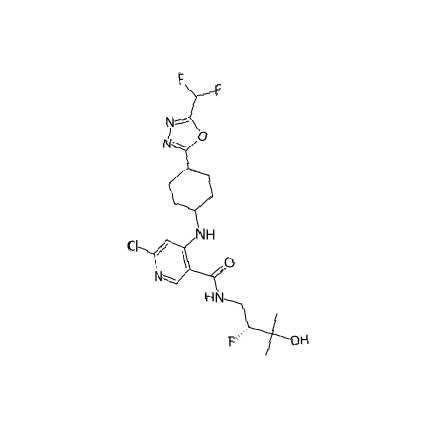 CC(C)(O)[C@H](F)CNC(=O)c1cnc(Cl)cc1NC1CCC(c2nnc(C(F)F)o2)CC1